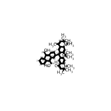 CC1=CC(C)(C)N(C)c2cc3c(cc21)C(c1ccc2c(CO)c4ccccc4c(CO)c2c1)=c1cc2c(cc1[Si]3(C)C)=[N+](C)C(C)(C)C=C2C